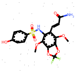 COc1c(C=CC(N)=O)c(NS(=O)(=O)c2ccc(O)cc2)c(OC)c2c1OC(F)(F)O2